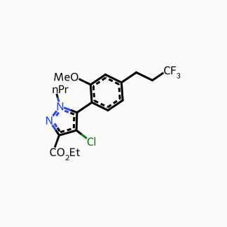 CCCn1nc(C(=O)OCC)c(Cl)c1-c1ccc(CCC(F)(F)F)cc1OC